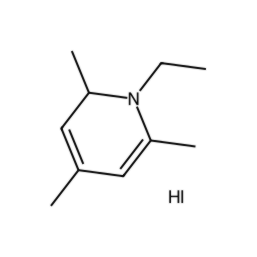 CCN1C(C)=CC(C)=CC1C.I